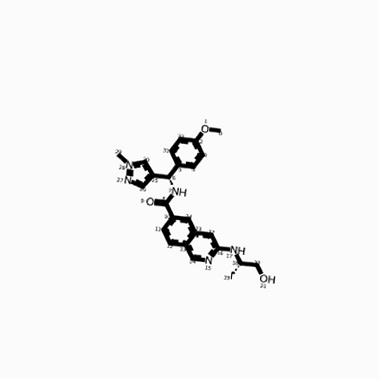 COc1ccc([C@H](NC(=O)c2ccc3cnc(N[C@@H](I)CO)cc3c2)c2cnn(C)c2)cc1